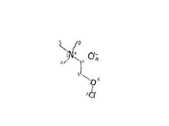 C[N+](C)(C)CCOCl.[Cl-]